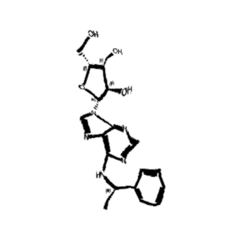 C[C@@H](Nc1ncnc2c1ncn2[C@@H]1O[C@H](CO)[C@@H](O)[C@H]1O)c1ccccc1